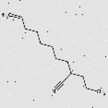 C=CCCCCCCC(C#N)CCC